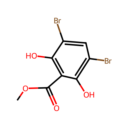 COC(=O)c1c(O)c(Br)cc(Br)c1O